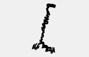 COCCOCCOCCOCCOCCOCCOC(C)CCCC(=O)O